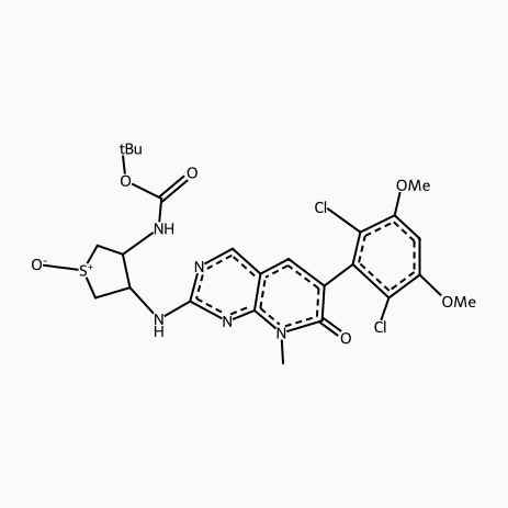 COc1cc(OC)c(Cl)c(-c2cc3cnc(NC4C[S+]([O-])CC4NC(=O)OC(C)(C)C)nc3n(C)c2=O)c1Cl